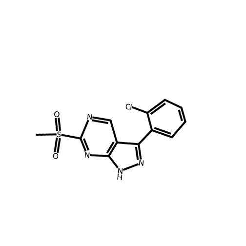 CS(=O)(=O)c1ncc2c(-c3ccccc3Cl)n[nH]c2n1